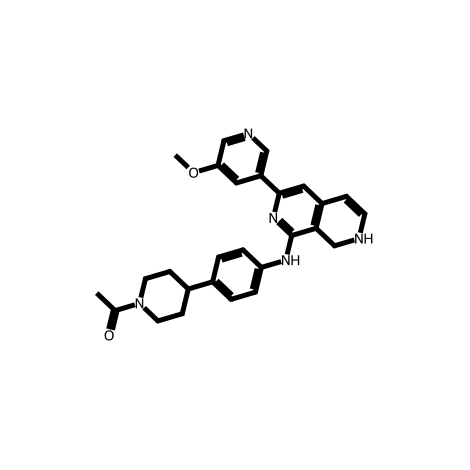 COc1cncc(-c2cc3c(c(Nc4ccc(C5CCN(C(C)=O)CC5)cc4)n2)CNC=C3)c1